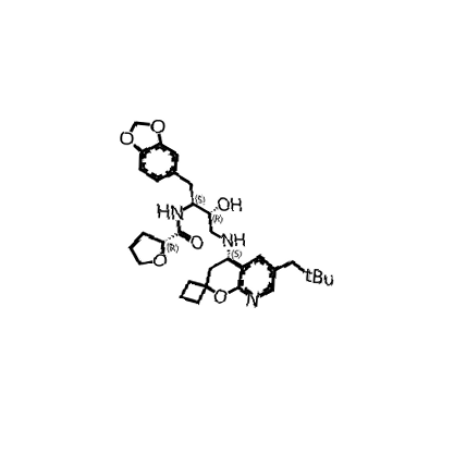 CC(C)(C)Cc1cnc2c(c1)[C@@H](NC[C@@H](O)[C@H](Cc1ccc3c(c1)OCO3)NC(=O)[C@H]1CCCO1)CC1(CCC1)O2